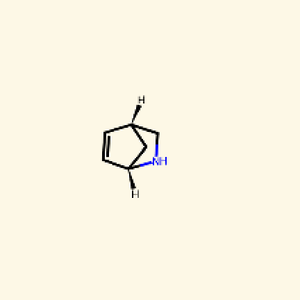 C1=C[C@@H]2C[C@H]1CN2